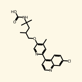 Cc1cc(-c2ccnc3cc(Cl)ccc23)ncc1OCC(C)CC(C)(C)NC(=O)O